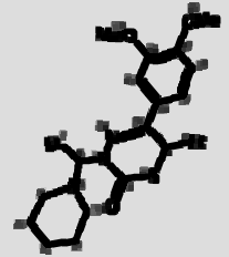 CCC1SC(=O)N(C(CC)N2CCCCC2)N=C1c1ccc(OC)c(OC)c1